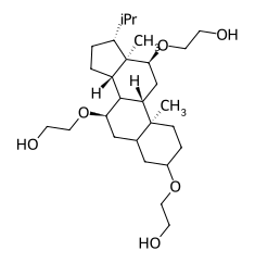 CC(C)[C@H]1CC[C@H]2C3[C@H](OCCO)CC4CC(OCCO)CC[C@]4(C)[C@H]3C[C@H](OCCO)[C@]12C